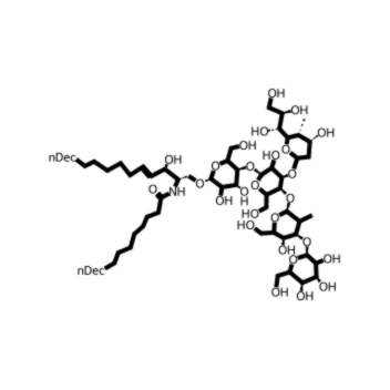 CCCCCCCCCCCCCCC/C=C/[C@@H](O)[C@H](CO[C@@H]1OC(CO)[C@@H](O[C@@H]2OC(CO)[C@H](O[C@@H]3OC(CO)[C@H](O)[C@H](O[C@@H]4OC(CO)[C@H](O)[C@H](O)C4O)C3C)[C@H](OC3C[C@@H](O)[C@@H](C)C([C@H](O)[C@H](O)CO)O3)C2O)[C@H](O)C1O)NC(=O)CCCCCCCCCCCCCCCCC